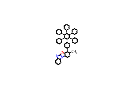 Cc1ccc2c(oc3nc4ccccc4n32)c1-c1ccc(-c2c(-c3ccccc3)c(-c3ccccc3)c(-c3ccccc3)c(-c3ccccc3)c2-c2ccccc2)cc1